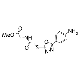 COC(=O)CNC(=O)CSc1nnc(-c2ccc(N)cc2)o1